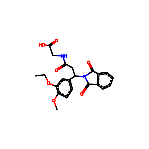 CCOc1cc(C(CC(=O)NCC(=O)O)N2C(=O)c3ccccc3C2=O)ccc1OC